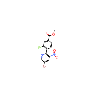 COC(=O)c1ccc(-c2ncc(Br)cc2[N+](=O)[O-])c(F)c1